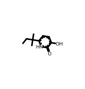 CCC(C)(C)c1ccc(O)c(=O)[nH]1